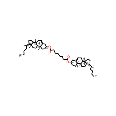 CC(C)CCC[C@@H](C)[C@H]1CC[C@H]2[C@@H]3CC=C4C[C@@H](OC(=O)CCCCCCC(=O)O[C@H]5CC[C@@]6(C)C(=CC[C@H]7[C@@H]8CC[C@H]([C@H](C)CCCC(C)C)[C@@]8(C)CC[C@@H]76)C5)CC[C@]4(C)[C@H]3CC[C@]12C